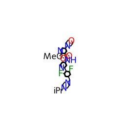 COc1ncc(N2CCOCC2)cc1S(=O)(=O)Nc1ccnc(-c2c(F)cc(CN3CCN(C(C)C)CC3)cc2F)c1